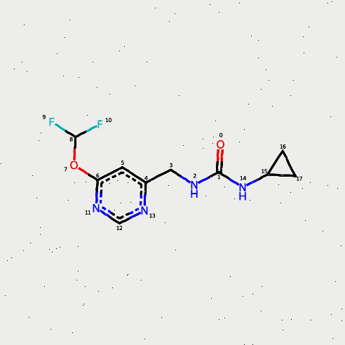 O=C(NCc1cc(OC(F)F)ncn1)NC1CC1